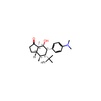 CCCC(C)(C)[C@@H]1[C@@H](C)[C@@H]2CCC(=O)[C@@]2(C)[C@@H](O)[C@@H]1c1ccc(N(C)C)cc1